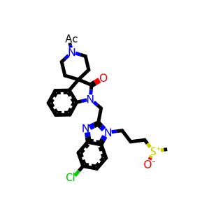 CC(=O)N1CCC2(CC1)C(=O)N(Cc1nc3cc(Cl)ccc3n1CCC[S+](C)[O-])c1ccccc12